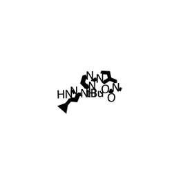 CN(CC1CCN(c2nccc(Nc3cc(C4CC4)[nH]n3)n2)C1)C(=O)OC(C)(C)C